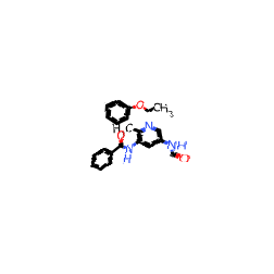 CCOc1ccccc1.Cc1ncc(NC=O)cc1NC(=O)c1ccccc1